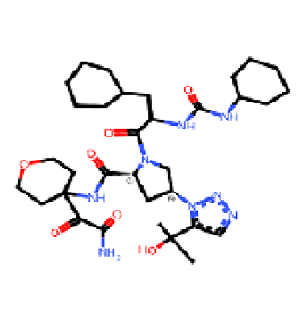 CC(C)(O)c1cnnn1[C@H]1C[C@@H](C(=O)NC2(C(=O)C(N)=O)CCOCC2)N(C(=O)C(CC2CCCCC2)NC(=O)NC2CCCCC2)C1